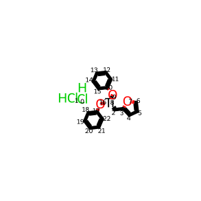 Cl.Cl.[CH](c1ccco1)=[Ti]([O]c1ccccc1)[O]c1ccccc1